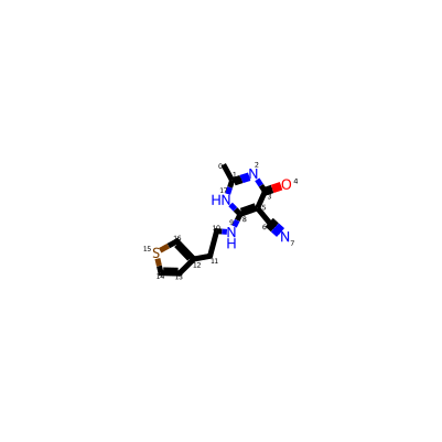 Cc1nc(=O)c(C#N)c(NCCc2ccsc2)[nH]1